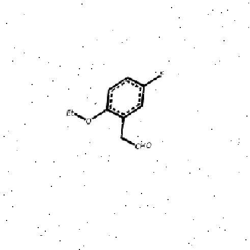 CCOc1ccc(F)cc1CC=O